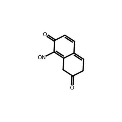 O=NC1=C2CC(=O)CC=C2C=CC1=O